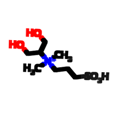 C[N+](C)(CCCS(=O)(=O)O)C(CO)CO